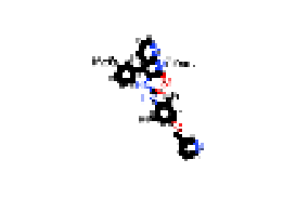 CCCCCn1c(=O)c(NC(=O)Nc2c(C(C)C)cc(OCc3cccnc3)cc2C(C)C)c(-c2cccc(OC)c2)c2cccnc21